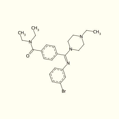 CCN1CCN(C(=Nc2cccc(Br)c2)c2ccc(C(=O)N(CC)CC)cc2)CC1